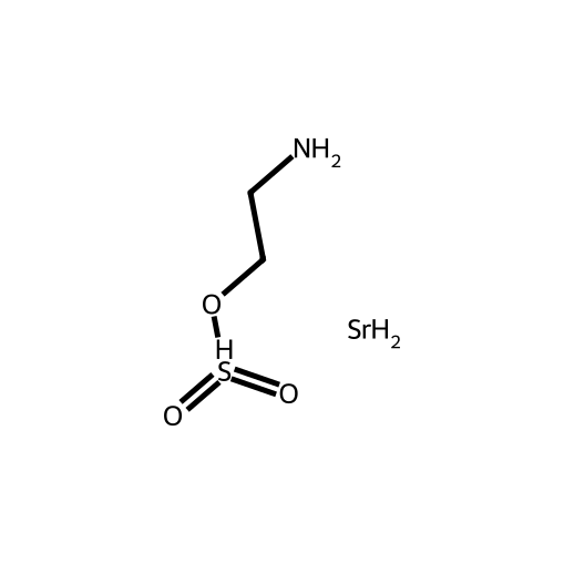 NCCO[SH](=O)=O.[SrH2]